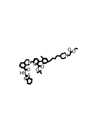 CCOC(=O)CN1CCC(CCCCc2ccc(-c3ccc(N4CCc5cccc(C(=O)Nc6nc7ccccc7s6)c5C4)nc3C(=O)OC(C)(C)C)c(C)c2)CC1